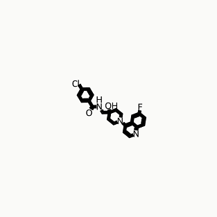 O=C(NCC1(O)CCN(c2ccnc3ccc(F)cc23)CC1)c1ccc(Cl)cc1